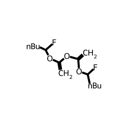 C=C(OC(=C)OC(F)CCCC)OC(F)CCCC